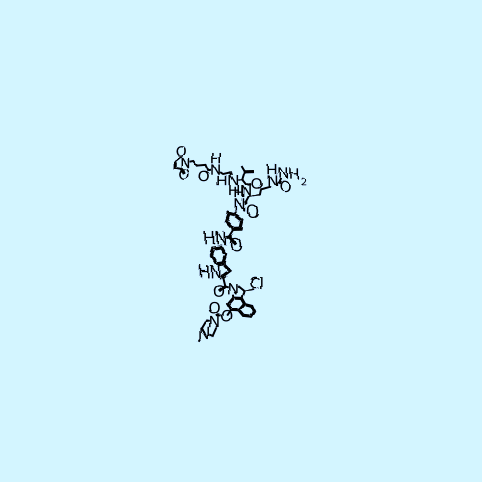 C=C(C)[C@H](NCCNC(=O)CCCN1C(=O)C=CC1=O)C(=O)N[C@@H](CCCNC(N)=O)C(=O)Nc1ccc(C(=O)Nc2ccc3[nH]c(C(=O)N4C[C@@H](CCl)c5c4cc(OC(=O)N4CCN(C)CC4)c4ccccc54)cc3c2)cc1